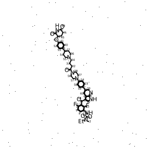 CCN(C)S(=O)(=O)Nc1ccc(F)c(C(=O)c2c[nH]c3ncc(-c4ccc(N5CCN(C(=O)CCCN6CCC(c7ccc(OC8CCC(=O)NC8=O)cc7)CC6)CC5)cc4)cc23)c1F